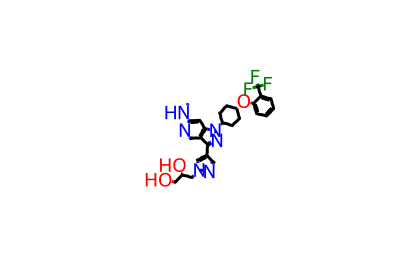 CNc1cc2c(cn1)c(-c1cnn(C[C@@H](O)CO)c1)nn2C1CCC(Oc2ccccc2C(F)(F)F)CC1